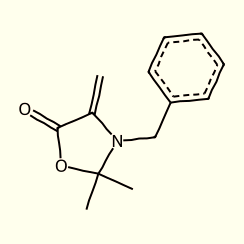 C=C1C(=O)OC(C)(C)N1Cc1ccccc1